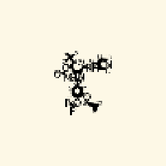 CC(C)(C)CC(OC(N)=O)c1oc(-c2ccc(OC(F)F)c(OCC3CC3)c2)nc1C(=O)NCc1ccncc1